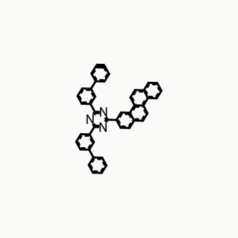 c1ccc(-c2cccc(-c3nc(-c4cccc(-c5ccccc5)c4)nc(-c4ccc5ccc6c7ccccc7ccc6c5c4)n3)c2)cc#1